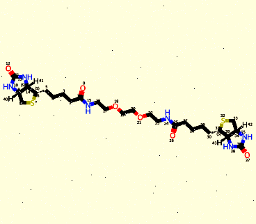 O=C(CCCC[C@@H]1SC[C@@H]2NC(=O)N[C@@H]21)NCCOCCOCCNC(=O)CCCC[C@@H]1SC[C@@H]2NC(=O)N[C@@H]21